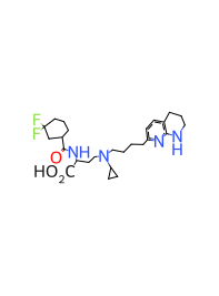 O=C(NC(CCN(CCCCc1ccc2c(n1)NCCC2)C1CC1)C(=O)O)C1CCCC(F)(F)C1